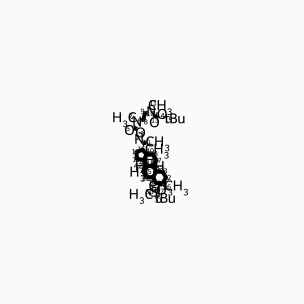 C/C(=N\OC(=O)N(C)CCN(C)C(=O)OC(C)(C)C)[C@H]1CC[C@H]2[C@@H]3CCC4C[C@](C)(O[Si](C)(C)C(C)(C)C)CC[C@]4(C)[C@H]3CC[C@]12C